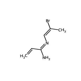 C=C/C(N)=N\C=C(/C)Br